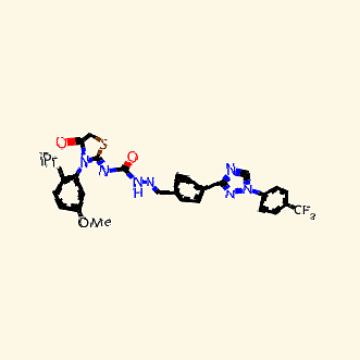 COc1ccc(C(C)C)c(N2C(=O)CS/C2=N\C(=O)N/N=C/c2ccc(-c3ncn(-c4ccc(C(F)(F)F)cc4)n3)cc2)c1